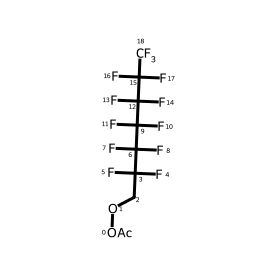 CC(=O)OOCC(F)(F)C(F)(F)C(F)(F)C(F)(F)C(F)(F)C(F)(F)F